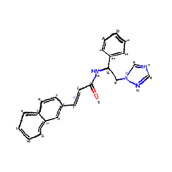 O=C(/C=C/c1ccc2ccccc2c1)NC(Cn1cncn1)c1ccccc1